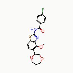 COc1c(C2COCCCO2)ccc2sc(NC(=O)c3ccc(F)cc3)nc12